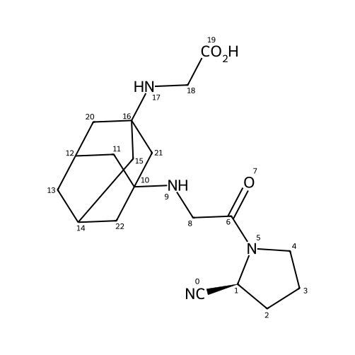 N#C[C@@H]1CCCN1C(=O)CNC12CC3CC(CC(NCC(=O)O)(C3)C1)C2